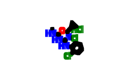 CNC(=O)NC(=NCC1CC1)Nc1c(Cl)cccc1Cl.Cl